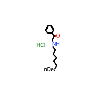 CCCCCCCCCCCCCCCCNCC(=O)c1ccccc1.Cl